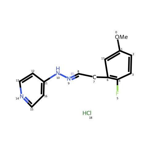 COc1ccc(F)c(C/C=N/Nc2ccncc2)c1.Cl